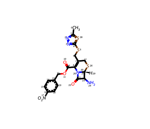 Cc1nnc(SCC2=C(C(=O)OCc3ccc([N+](=O)[O-])cc3)N3C(=O)C(N)[C@H]3SC2)s1